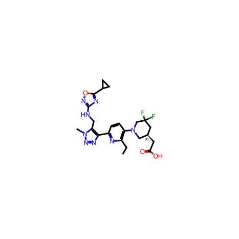 CCc1nc(-c2nnn(C)c2CNc2noc(C3CC3)n2)ccc1N1C[C@H](CC(=O)O)CC(F)(F)C1